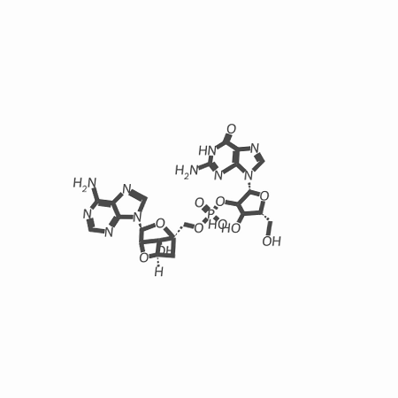 Nc1nc2c(ncn2[C@@H]2O[C@H](CO)C(O)C2OP(=O)(O)OC[C@@]23C[C@H]4OC([C@H](n5cnc6c(N)ncnc65)O2)C43O)c(=O)[nH]1